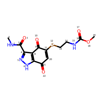 CNC(=O)c1n[nH]c2c1C(=O)C(SCCNC(=O)OC)=CC2=O